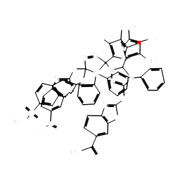 Cc1[nH]c(C2N(c3ccccc3)C(Sc3nc4ccc(C(=O)O)cc4s3)=NN2C2(c3[nH]c(C)c(C)c3C)N=NC(Sc3nc4ccc([N+](=O)[O-])cc4s3)(Sc3nc4ccc(S(C)(=O)=O)cc4s3)[N+]2(c2ccccc2)c2ccccc2)c(C)c1C